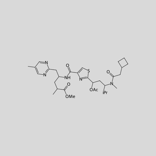 COC(=O)C(C)CC(Cc1ncc(C)cn1)NC(=O)c1csc(C(CC(C(C)C)N(C)C(=O)CC2CCC2)OC(C)=O)n1